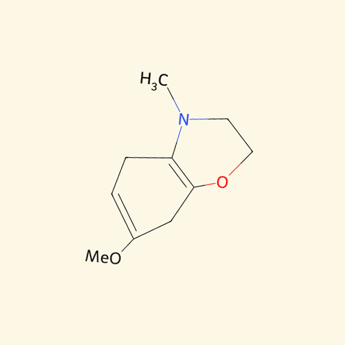 COC1=CCC2=C(C1)OCCN2C